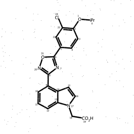 CC(C)Oc1ccc(-c2nc(-c3cccc4c3ccn4CC(=O)O)no2)cc1Cl